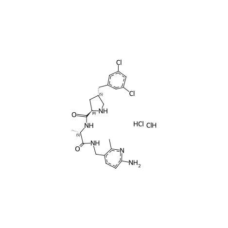 Cc1nc(N)ccc1CNC(=O)[C@H](C)NC(=O)[C@H]1C[C@H](Cc2cc(Cl)cc(Cl)c2)CN1.Cl.Cl